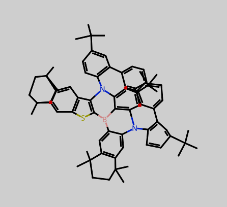 CC(C)(C)c1ccc(N2c3cc4c(cc3B3c5sc6cc7c(cc6c5N(c5ccc(C(C)(C)C)cc5-c5ccccc5)c5cc(C(C)(C)C)cc2c53)C2(C)CCC7(C)CC2)C(C)(C)CCC4(C)C)c(-c2ccccc2)c1